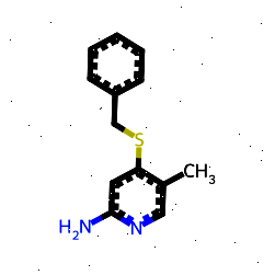 Cc1cnc(N)cc1SCc1ccccc1